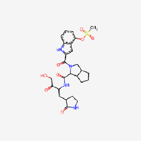 CS(=O)(=O)Oc1cccc2[nH]c(C(=O)N3CC4CCCC4C3C(=O)NC(CC3CCNC3=O)C(=O)CO)cc12